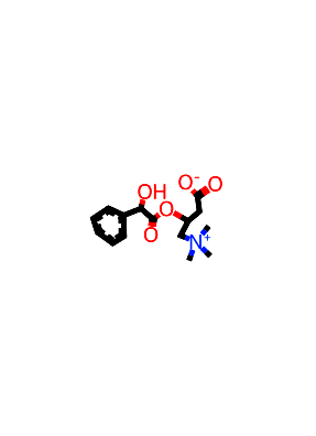 C[N+](C)(C)CC(CC(=O)[O-])OC(=O)C(O)c1ccccc1